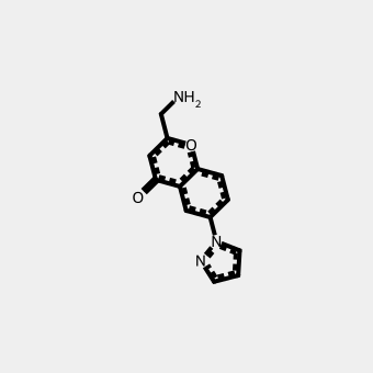 NCc1cc(=O)c2cc(-n3cccn3)ccc2o1